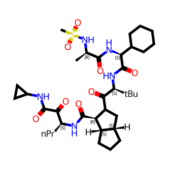 CCC[C@H](NC(=O)[C@H]1C(C(=O)[C@@H](NC(=O)[C@@H](NC(=O)[C@@H](C)NS(C)(=O)=O)C2CCCCC2)C(C)(C)C)C[C@@H]2CCC[C@@H]21)C(=O)C(=O)NC1CC1